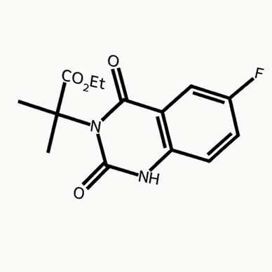 CCOC(=O)C(C)(C)n1c(=O)[nH]c2ccc(F)cc2c1=O